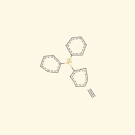 C#C.c1ccc([PH2](c2ccccc2)c2ccccc2)cc1